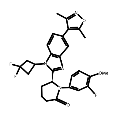 COc1ccc(N2C(=O)CCC[C@H]2c2nc3cc(-c4c(C)noc4C)ccc3n2C2CC(F)(F)C2)cc1F